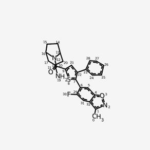 Cc1noc2cc(-c3sc(C(=O)N4C5CCC4CC(N)C5)cc3-c3ccccc3)c(F)cc12